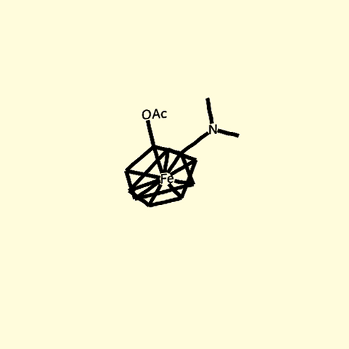 CC(=O)O[C]12[CH]3[CH]4[CH]5[C]1(N(C)C)[Fe]43521678[CH]2[CH]1[CH]6[CH]7[CH]28